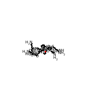 C[C@H](NC(=O)[C@@H](NC(=O)[C@@H](N)CCCCN)[C@@H](O)CN)C(=O)NCC(=O)/N=C(\CCCN)C(=O)N1CCC[C@H]1C(=O)N[C@@H](Cc1cccnc1)C(=O)N[C@@H](CCCCN)C(=O)N/C(=C\CCNC(=N)N)C(=O)O